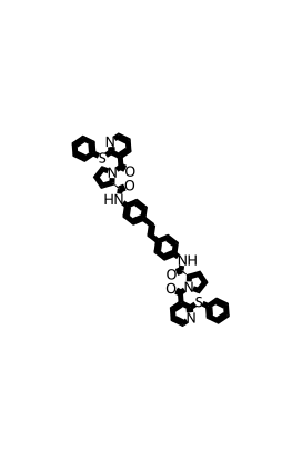 O=C(Nc1ccc(/C=C/c2ccc(NC(=O)[C@@H]3CCCN3C(=O)c3cccnc3Sc3ccccc3)cc2)cc1)[C@@H]1CCCN1C(=O)c1cccnc1Sc1ccccc1